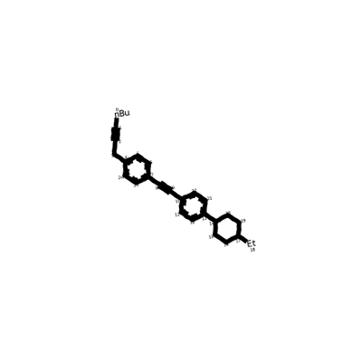 CCCCC#CCc1ccc(C#Cc2ccc(C3CCC(CC)CC3)cc2)cc1